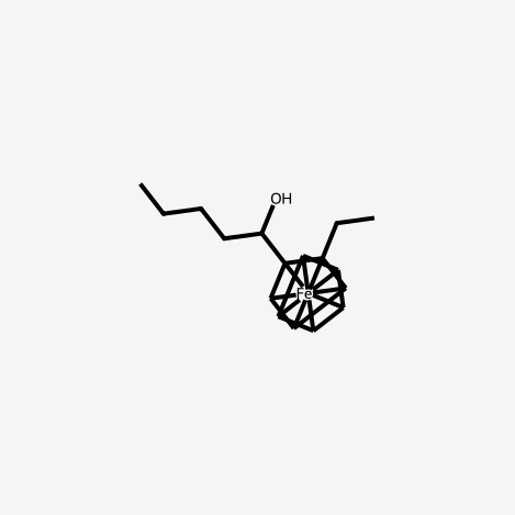 CCCCC(O)[C]12[CH]3[CH]4[CH]5[C]1(CC)[Fe]45321678[CH]2[CH]1[CH]6[CH]7[CH]28